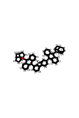 c1ccc2c(C3C4CC5CC(C4)CC3C5)c3ccccc3c(-c3ccc4c(c3)sc3c(-c5c6ccccc6c(C6C7CC8CC9CC6CC89C7)c6ccccc56)cccc34)c2c1